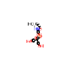 CC(CC(C)C(=O)Nc1ccc(OS(=O)(=O)C2CC3C(c4ccc(O)cc4)=C(c4ccc(O)cc4)C34OC24)cc1)C(=O)O